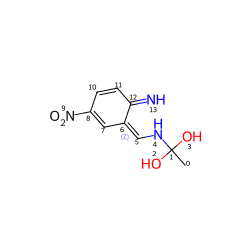 CC(O)(O)N/C=C1/C=C([N+](=O)[O-])C=CC1=N